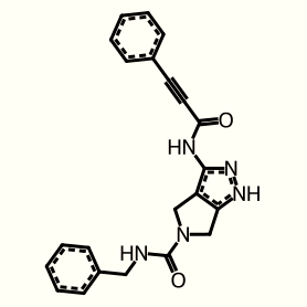 O=C(C#Cc1ccccc1)Nc1n[nH]c2c1CN(C(=O)NCc1ccccc1)C2